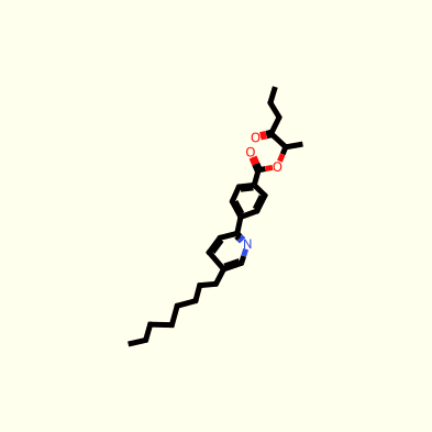 CCCCCCCCc1ccc(-c2ccc(C(=O)OC(C)C(=O)CCC)cc2)nc1